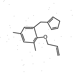 C=CCOc1c(C)cc(C)cc1CC1=CCC=C1